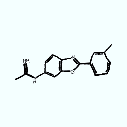 CC(=N)Nc1ccc2nc(-c3cccc(C)c3)oc2c1